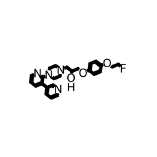 OC(COc1ccc(OCCF)cc1)CN1CCN(c2ncccc2-c2cccnc2)CC1